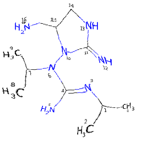 CC(C)N=C(N)N(C(C)C)N1C(=N)NCC1N